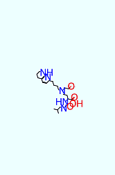 COCCN(CCCCc1ccc2c(n1)NCCC2)CCC(NC(=O)N(C)CC(C)C)C(=O)O